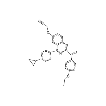 C#CCOc1ccc2nc(C(=O)c3ccc(OCC)cc3)nc(-c3ccc(C4CC4)cc3)c2c1